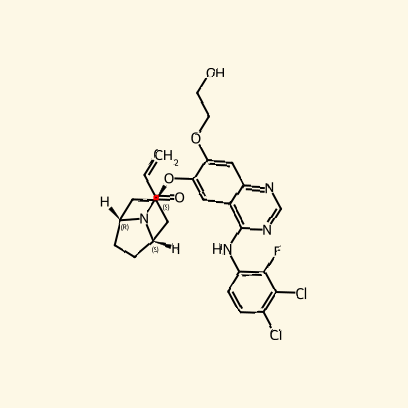 C=CC(=O)N1[C@@H]2CC[C@H]1C[C@H](Oc1cc3c(Nc4ccc(Cl)c(Cl)c4F)ncnc3cc1OCCO)C2